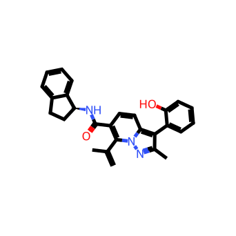 C=C(C)c1c(C(=O)N[C@H]2CCc3ccccc32)ccc2c(-c3ccccc3O)c(C)nn12